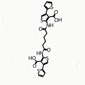 O=C(CCCCC(=O)Nc1scc(-c2cccs2)c1C(=O)O)Nc1scc(-c2cccs2)c1C(=O)O